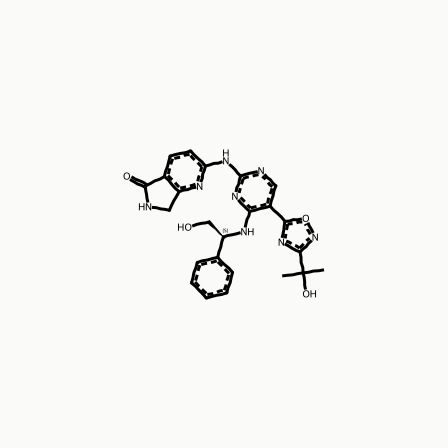 CC(C)(O)c1noc(-c2cnc(Nc3ccc4c(n3)CNC4=O)nc2N[C@H](CO)c2ccccc2)n1